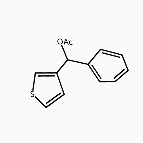 CC(=O)OC(c1ccccc1)c1ccsc1